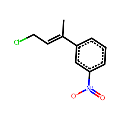 CC(=CCCl)c1cccc([N+](=O)[O-])c1